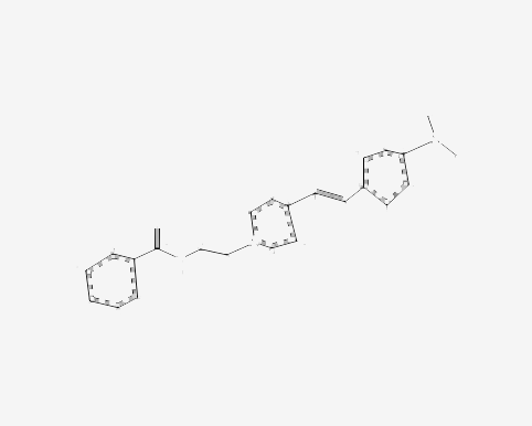 CN(C)c1ccc(/C=C/c2cc[n+](CCSC(=O)c3ccccc3)cc2)cc1